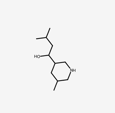 C[C](C)CC(O)C1CNCC(C)C1